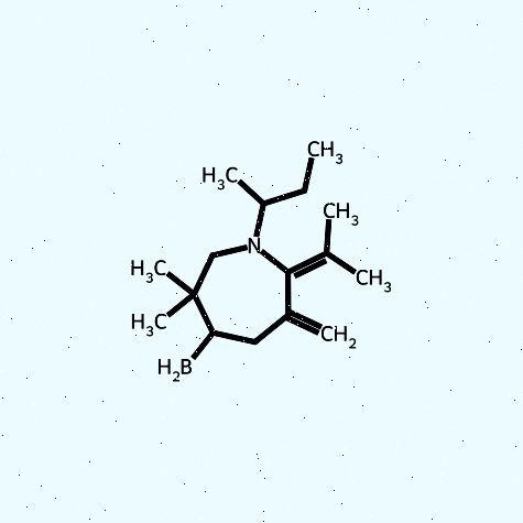 BC1CC(=C)C(=C(C)C)N(C(C)CC)CC1(C)C